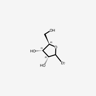 C[CH]C1O[C@H](CO)[C@@H](O)[C@H]1O